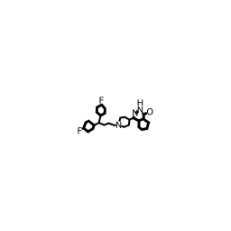 O=c1[nH]nc(C2CCN(CCCC(c3ccc(F)cc3)c3ccc(F)cc3)CC2)c2ccccc12